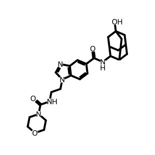 O=C(NC1C2CC3CC1CC(O)(C3)C2)c1ccc2c(c1)ncn2CCNC(=O)N1CCOCC1